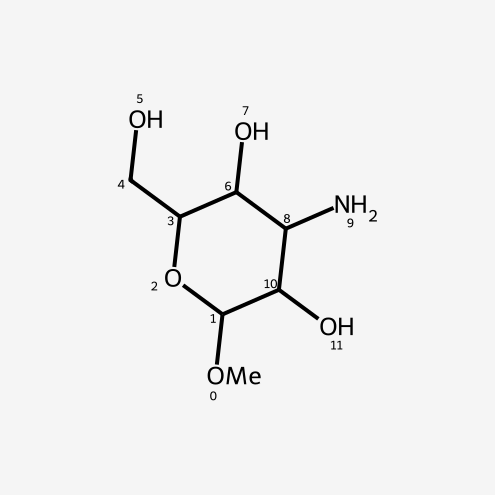 COC1OC(CO)C(O)C(N)C1O